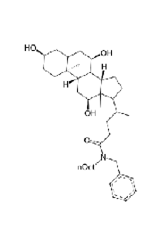 CCCCCCCCN(Cc1ccccc1)C(=O)CCC(C)C1CC[C@H]2C3[C@H](O)CC4C[C@H](O)CC[C@]4(C)[C@H]3C[C@H](O)C12C